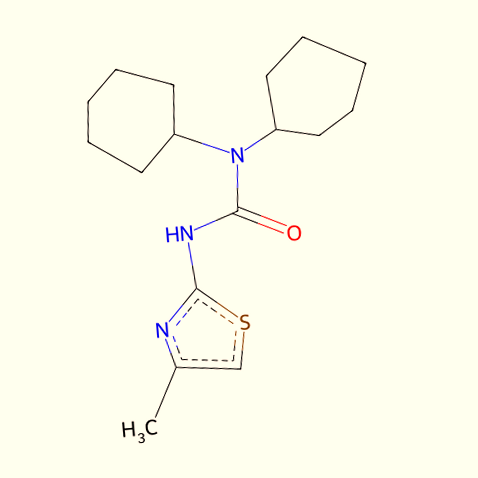 Cc1csc(NC(=O)N(C2CCCCC2)C2CCCCC2)n1